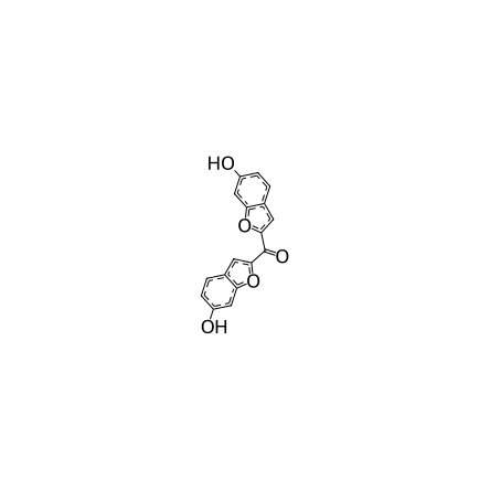 O=C(c1cc2ccc(O)cc2o1)c1cc2ccc(O)cc2o1